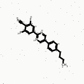 CCCCc1ccc(-c2cnc(-c3cc(F)c(C#N)c(F)c3)nc2)cc1